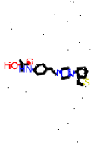 CC(C)(O)C(=O)NC1CCC(CCN2CCN(c3cccc4sccc34)CC2)CC1